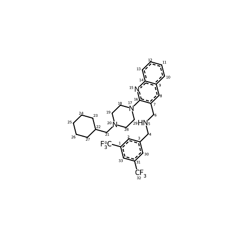 FC(F)(F)c1cc(CNCc2cc3ccccc3nc2N2CCN(CC3CCCCC3)CC2)cc(C(F)(F)F)c1